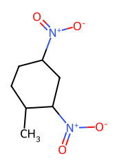 CC1CCC([N+](=O)[O-])CC1[N+](=O)[O-]